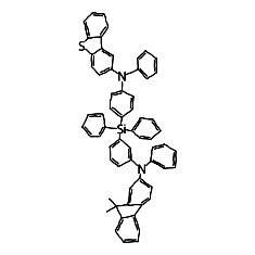 CC1(C)c2ccccc2-c2ccc(N(c3ccccc3)c3cccc([Si](c4ccccc4)(c4ccccc4)c4ccc(N(c5ccccc5)c5ccc6sc7ccccc7c6c5)cc4)c3)cc21